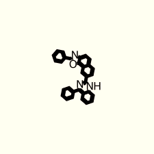 C1=CC2=C(c3ccccc3)N=C(c3ccc4ccc5nc(-c6ccccc6)oc5c4c3)NC2C=C1